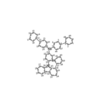 c1ccc(-c2ccc(N(c3ccc(-c4ccccc4)cc3)c3ccc(-n4c5ccccc5c5cccc(-c6ccccc6)c54)cc3)cc2)cc1